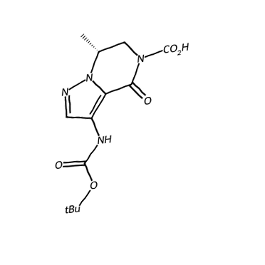 C[C@@H]1CN(C(=O)O)C(=O)c2c(NC(=O)OC(C)(C)C)cnn21